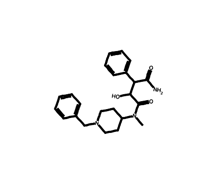 CN(C(=O)C(O)C(C(N)=O)c1ccccc1)C1CCN(Cc2ccccc2)CC1